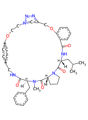 CC(C)C[C@H]1NC(=O)c2ccccc2OCc2cn(nn2)CCOc2ccc(cc2)CNC(=O)[C@H](Cc2ccccc2)N(C)C(=O)[C@H]2CCCN2C1=O